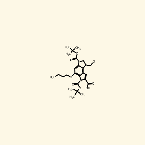 CCCCOc1cc2c(c3cc(C(=O)O)n(C(=O)OC(C)(C)C)c13)C(CCl)CN2C(=O)OC(C)(C)C